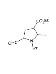 CCOC(=O)C1CC(C=O)N(C(C)C)C1C